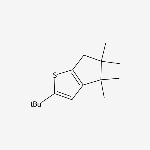 CC(C)(C)c1cc2c(s1)CC(C)(C)C2(C)C